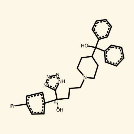 CC(C)c1ccc([C@](O)(CCCN2CCC(C(O)(c3ccccc3)c3ccccc3)CC2)c2nnn[nH]2)cc1